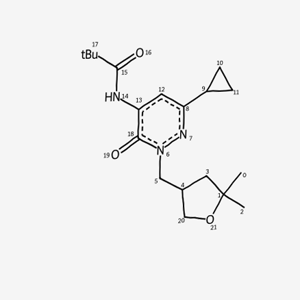 CC1(C)CC(Cn2nc(C3CC3)cc(NC(=O)C(C)(C)C)c2=O)CO1